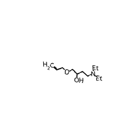 C=CCOCC(O)CCN(CC)CC